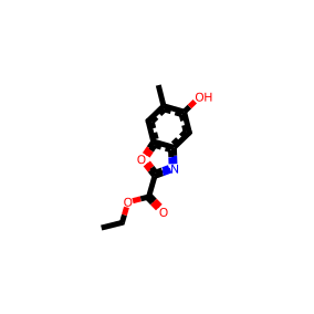 CCOC(=O)c1nc2cc(O)c(C)cc2o1